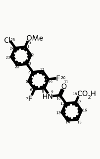 COc1cc(-c2cc(F)c(NC(=O)c3ccccc3C(=O)O)c(F)c2)ccc1Cl